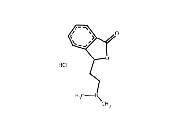 CN(C)CCC1OC(=O)c2ccccc21.Cl